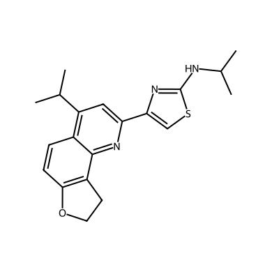 CC(C)Nc1nc(-c2cc(C(C)C)c3ccc4c(c3n2)CCO4)cs1